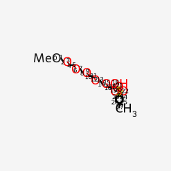 COCCOCCOCCOCCOCCOCC(O)OS(=O)(=O)c1ccc(C)cc1